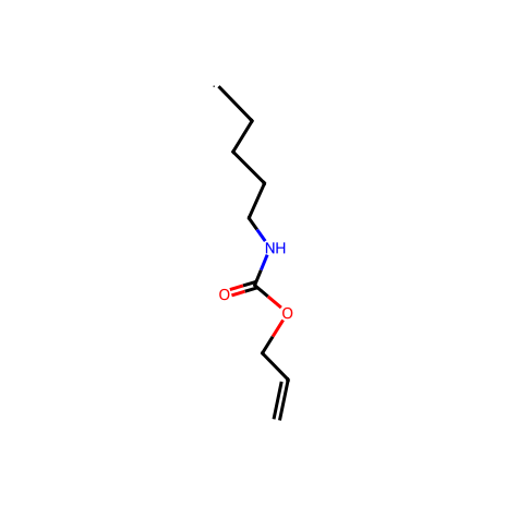 [CH2]CCCCNC(=O)OCC=C